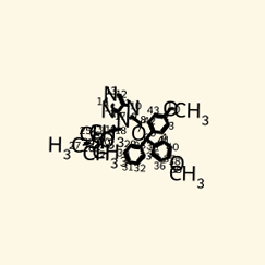 COc1ccc(C(OCc2nc3cncnc3n2CCO[Si](C)(C)C(C)(C)C)(c2ccccc2)c2ccc(OC)cc2)cc1